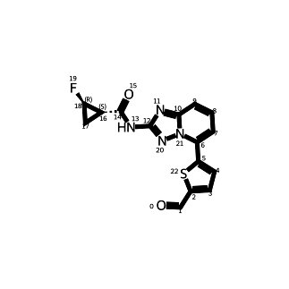 O=Cc1ccc(-c2cccc3nc(NC(=O)[C@@H]4C[C@H]4F)nn23)s1